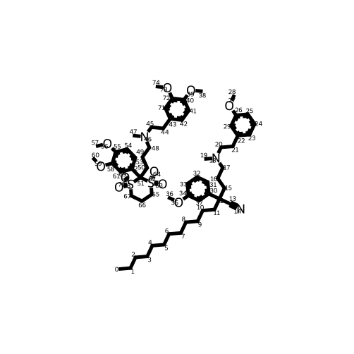 CCCCCCCCCCCCC(C#N)(CCCN(C)CCc1cccc(OC)c1)c1cccc(OC)c1.COc1ccc(CCN(C)CCCC2(c3ccc(OC)c(OC)c3)S(=O)(=O)CCCS2(=O)=O)cc1OC